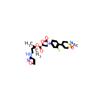 CC(=O)N=S1(=O)CC=C(c2ccc(N3C[C@H](C(=O)OC(C)(C)CCNc4ccon4)OC3=O)cc2F)CC1